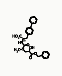 CN(CC(O)C(=O)OCc1ccccc1)C(=O)N[C@@H](Cc1ccc(-c2ccccc2)cc1)C(=O)O